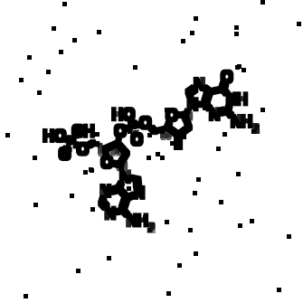 C=C1C[C@H](n2cnc3c(=O)[nH]c(N)nc32)O[C@@H]1COP(=O)(O)O[C@H]1C[C@H](n2cnc3c(N)ncnc32)O[C@@H]1COP(=O)(O)O